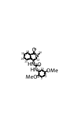 COc1ccc(OC)c(NC(=O)Nc2cn(C)c(=O)c3ccccc23)c1